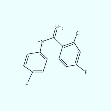 C=C(Nc1ccc(F)cc1)c1ccc(F)cc1Cl